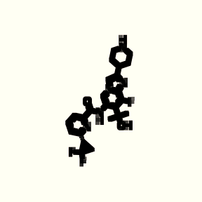 CC(C)(O)c1c(NC(=O)c2cccc([C@@H]3CC3(F)F)n2)cn2cc(C3CCNCC3)nc2c1F